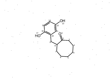 O=C1CCCCCCC1Cc1cc(O)ccc1O